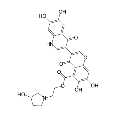 O=C(OCCN1CCC(O)C1)c1c(O)c(O)cc2occ(-c3c[nH]c4cc(O)c(O)cc4c3=O)c(=O)c12